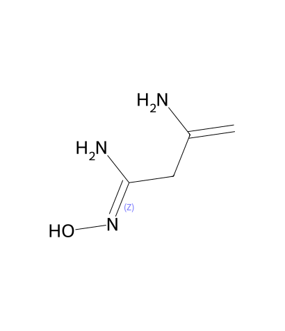 C=C(N)C/C(N)=N/O